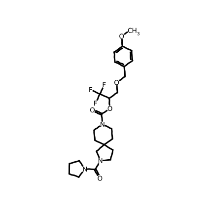 COc1ccc(COCC(OC(=O)N2CCC3(CC2)CCN(C(=O)N2CCCC2)C3)C(F)(F)F)cc1